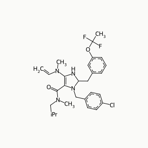 C=CN(C)C1=C(C(=O)N(C)CC(C)C)N(Cc2ccc(Cl)cc2)C(Cc2cccc(OC(C)(F)F)c2)N1